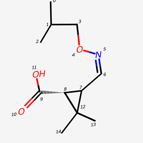 CC(C)CO/N=C\C1[C@@H](C(=O)O)C1(C)C